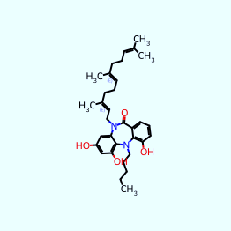 CCCCCN1c2c(O)cccc2C(=O)N(C/C=C(\C)CC/C=C(\C)CCC=C(C)C)c2cc(O)cc(O)c21